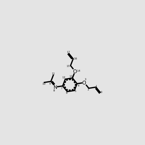 C=CCOc1ccc(N=C(C)C)cc1OCC=C